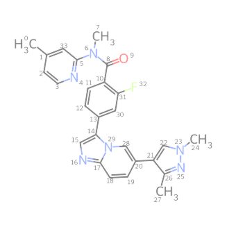 Cc1ccnc(N(C)C(=O)c2ccc(-c3cnc4ccc(-c5cn(C)nc5C)cn34)cc2F)c1